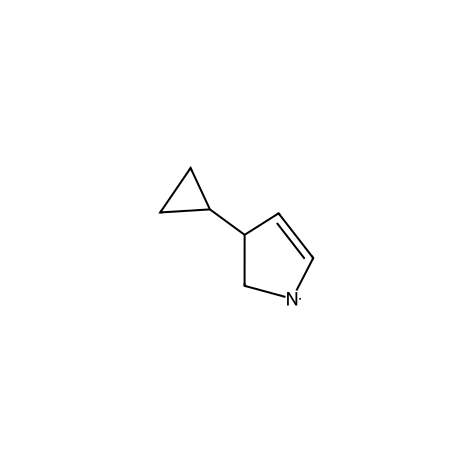 C1=CC(C2CC2)C[N]1